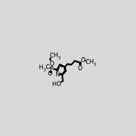 CCOP(C)(=O)c1cc(CCCC(=O)OC)cc(CO)n1